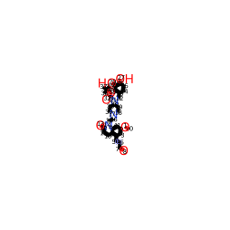 COc1cc(/C=C/C=O)c2ccc(=O)n(CCN3CCC(N(Cc4ccc(O)c(O)c4)C(=O)OC(C)(C)C)CC3)c2c1